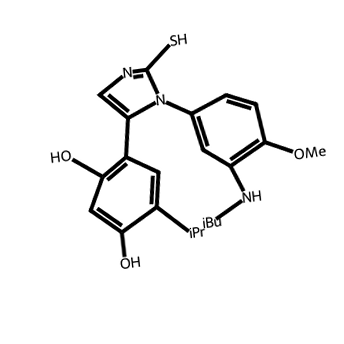 CCC(C)Nc1cc(-n2c(-c3cc(C(C)C)c(O)cc3O)cnc2S)ccc1OC